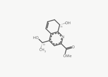 COC(=O)c1cc([C@H](C)O)c2c(n1)[C@@H](O)CC=C2